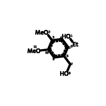 CCO.COc1ccc(CO)cc1OC